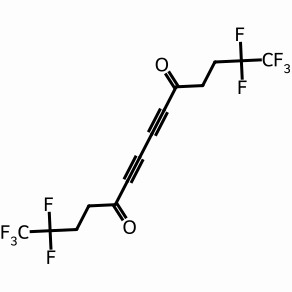 O=C(C#CC#CC(=O)CCC(F)(F)C(F)(F)F)CCC(F)(F)C(F)(F)F